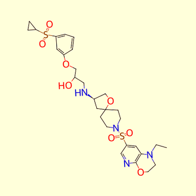 CCN1CCOc2ncc(S(=O)(=O)N3CCC4(CC3)C[C@@H](NCC(O)COc3cccc(S(=O)(=O)C5CC5)c3)CO4)cc21